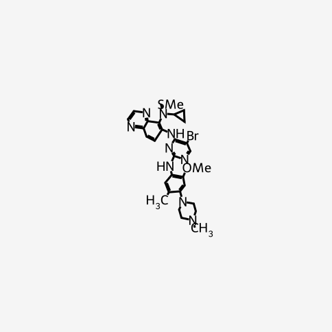 COc1cc(N2CCN(C)CC2)c(C)cc1Nc1ncc(Br)c(Nc2ccc3nccnc3c2N(SC)C2CC2)n1